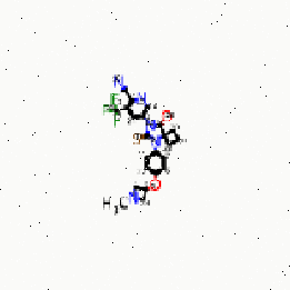 CN1CC(Oc2ccc(N3C(=S)N(c4cnc(C#N)c(C(F)(F)F)c4)C(=O)C34CCC4)cc2)C1